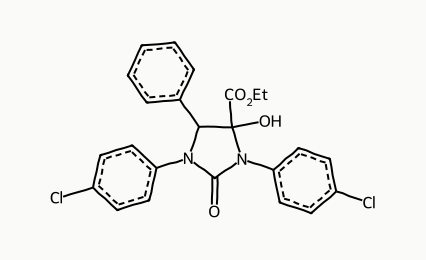 CCOC(=O)C1(O)C(c2ccccc2)N(c2ccc(Cl)cc2)C(=O)N1c1ccc(Cl)cc1